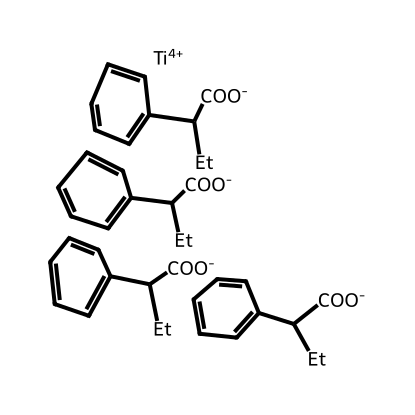 CCC(C(=O)[O-])c1ccccc1.CCC(C(=O)[O-])c1ccccc1.CCC(C(=O)[O-])c1ccccc1.CCC(C(=O)[O-])c1ccccc1.[Ti+4]